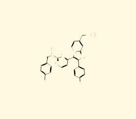 Cc1ccc([C@H](C)Nc2nccc(-c3c(-c4ccc(F)cc4)nc4cc(CO)ccn34)n2)cc1